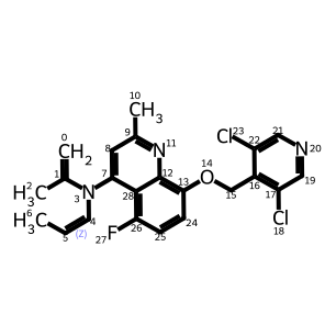 C=C(C)N(/C=C\C)c1cc(C)nc2c(OCc3c(Cl)cncc3Cl)ccc(F)c12